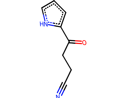 N#CCCC(=O)c1ccc[nH]1